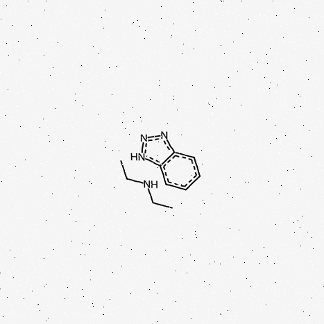 CCNCC.c1ccc2[nH]nnc2c1